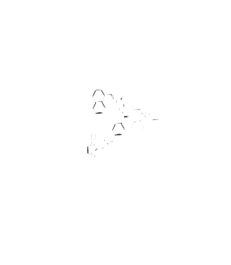 CCCN(CCC[C@H](NC(=O)c1ccc(CNCc2ncc[nH]2)cc1)C(=O)N[C@@H](C)c1cccc2ccccc12)C(CC)CC